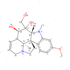 COc1ccc2c(c1)N(C)[C@H]1C(O)(CO)[C@H](O)C3C=CCN4CC[C@]21[C@H]34